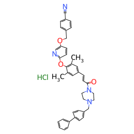 Cc1cc(C=CC(=O)N2CCN(Cc3ccc(-c4ccccc4)cc3)CC2)cc(C)c1Oc1ccc(OCc2ccc(C#N)cc2)cn1.Cl